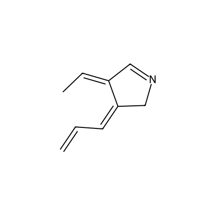 C=C/C=C1/CN=C/C1=C/C